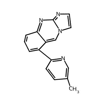 Cc1ccc(-c2cccc3nc4nccn4cc23)nc1